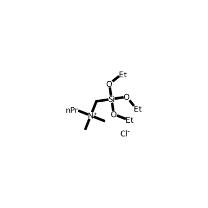 CCC[N+](C)(C)C[Si](OCC)(OCC)OCC.[Cl-]